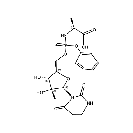 C[C@H](NP(=S)(OC[C@H]1O[C@@H](n2c(=O)cc[nH]c2=O)[C@](C)(O)[C@@H]1O)Oc1ccccc1)C(=O)O